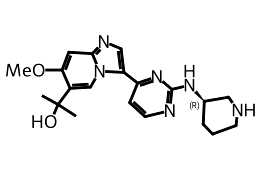 COc1cc2ncc(-c3ccnc(N[C@@H]4CCCNC4)n3)n2cc1C(C)(C)O